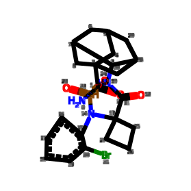 NC(=O)C12CC3CC(C1)C(NC(=O)C1(N(c4ccccc4Br)[SH](=O)=O)CCC1)C(C3)C2